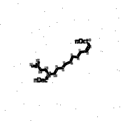 CCCCCCCC/C=C\CCCCCCCCN(CCCCCCCCCC)CCN(C)C